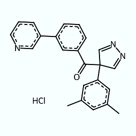 Cc1cc(C)cc(C2(C(=O)c3cccc(-c4cccnc4)c3)C=NN=C2)c1.Cl